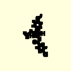 COc1ccc(-c2[nH]/c(=N/C(=O)c3ccc(Cl)cc3)[nH]c2CC2CC2)cc1